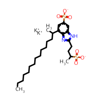 CCCCCCCCCCCCCC(C)c1cc(S(=O)(=O)[O-])cc2[nH]c(CCC(C)S(=O)(=O)[O-])nc12.[K+].[K+]